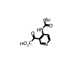 CC(C)(C)C(=O)Nc1ccncc1C(=O)C(=O)O